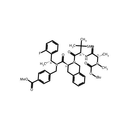 COC(=O)c1ccc(CN(C(=O)[C@@H]2Cc3ccccc3CN2C(=O)[C@@H](NC(=O)[C@H](C)N(C)C(=O)OC(C)(C)C)C(C)(C)SC)[C@H](C)c2ccccc2F)cc1